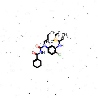 CCCCN(C(=O)NC(=O)C1=CCCCC1)c1ccc(Cl)c(NC(CC)P(C)CC)c1